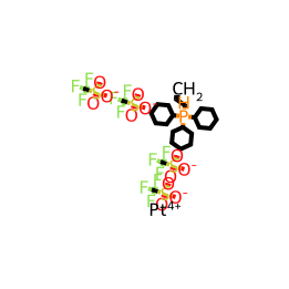 C=CC[PH](C1CCCCC1)(C1CCCCC1)C1CCCCC1.O=S(=O)([O-])C(F)(F)F.O=S(=O)([O-])C(F)(F)F.O=S(=O)([O-])C(F)(F)F.O=S(=O)([O-])C(F)(F)F.[Pt+4]